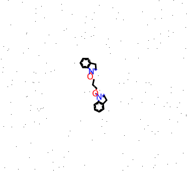 C1=[N+](OCCCO[N+]2=CCc3ccccc32)c2ccccc2C1